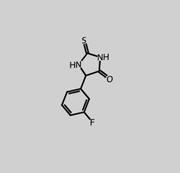 O=C1NC(=S)NC1c1cccc(F)c1